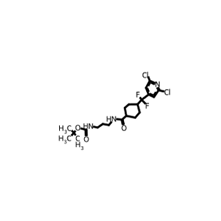 CC(C)(C)OC(=O)NCCCNC(=O)C1CCC(C(F)(F)c2cc(Cl)nc(Cl)c2)CC1